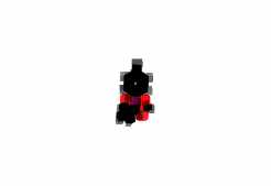 COP(=O)(C(=O)C(C)(C)C)c1ccc(C)cc1